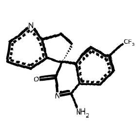 NC1=NC(=O)[C@]2(CCc3ncccc32)c2cc(C(F)(F)F)ccc21